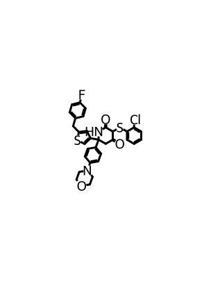 O=C1CC(c2ccc(N3CCOCC3)cc2)(c2csc(Cc3ccc(F)cc3)c2)NC(=O)C1Sc1ccccc1Cl